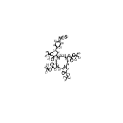 CC(C)(C)OC(=O)CN1CCN(CC(=O)OC(C)(C)C)CCN(C(CCc2ccc(N=C=S)cc2)C(=O)OC(C)(C)C)CCN(CC(=O)OC(C)(C)C)CC1